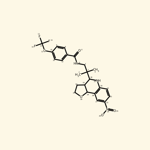 CC(C)(CNC(=O)c1ccc(OC(F)(F)F)cc1)C1Nc2ccc([N+](=O)[O-])cc2C2OCCC21